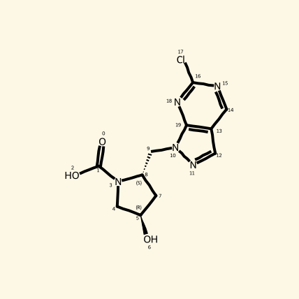 O=C(O)N1C[C@H](O)C[C@H]1Cn1ncc2cnc(Cl)nc21